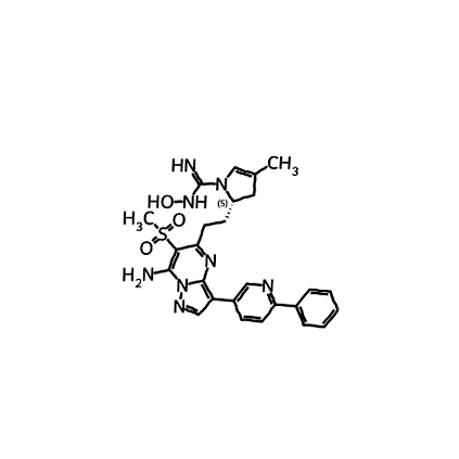 CC1=CN(C(=N)NO)[C@@H](CCc2nc3c(-c4ccc(-c5ccccc5)nc4)cnn3c(N)c2S(C)(=O)=O)C1